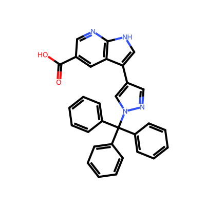 O=C(O)c1cnc2[nH]cc(-c3cnn(C(c4ccccc4)(c4ccccc4)c4ccccc4)c3)c2c1